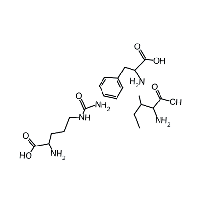 CCC(C)C(N)C(=O)O.NC(=O)NCCCC(N)C(=O)O.NC(Cc1ccccc1)C(=O)O